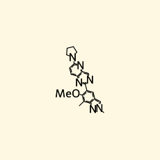 COc1c(-c2ncc3nc(N4CCCC4)ccc3n2)cc2cn(C)nc2c1C